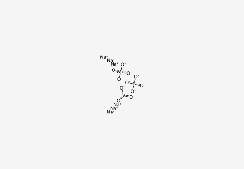 O=P([O-])([O-])[O-].[Na+].[Na+].[Na+].[Na+].[Na+].[Na+].[O]=[Mo](=[O])([O-])[O-].[O]=[V](=[O])[O-]